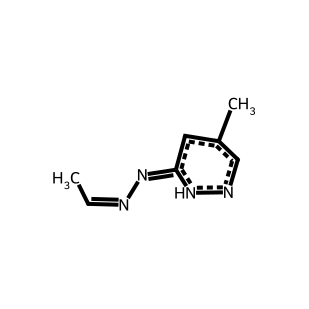 C/C=N\N=c1\cc(C)cn[nH]1